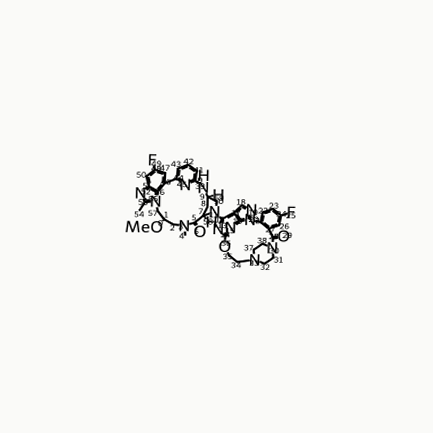 CO[C@H]1CN(C)C(=O)[C@@H]2C[C@@H](CN2c2nc3nc4c2cnn4-c2ccc(F)cc2C(=O)N2CCN(CCO3)CC2)Nc2cccc(n2)-c2cc(F)cc3nc(C)n(c23)C1